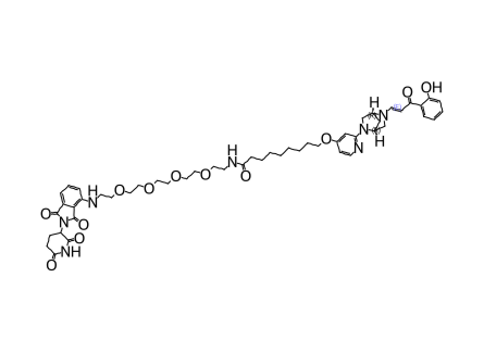 O=C(CCCCCCCCOc1ccnc(N2C[C@H]3C[C@@H]2CN3/C=C/C(=O)c2ccccc2O)c1)NCCOCCOCCOCCOCCNc1cccc2c1C(=O)N(C1CCC(=O)NC1=O)C2=O